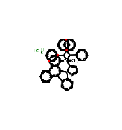 Cl.Cl.[CH2]=[Zr]([C]1=CC=CC1)([c]1cccc2c1c1c(c3ccccc32)-c2ccccc2C1)([CH](c1ccccc1)c1ccccc1)[CH](c1ccccc1)c1ccccc1